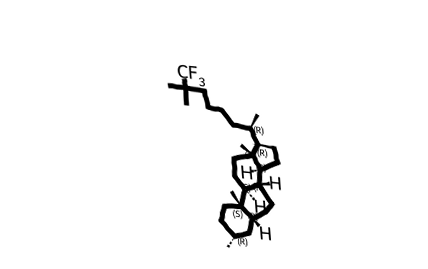 C[C@@H]1CC[C@@]2(C)[C@H](CC[C@@H]3[C@@H]2CC[C@]2(C)[C@@H]([C@H](C)CCCCC(C)(C)C(F)(F)F)CC[C@@H]32)C1